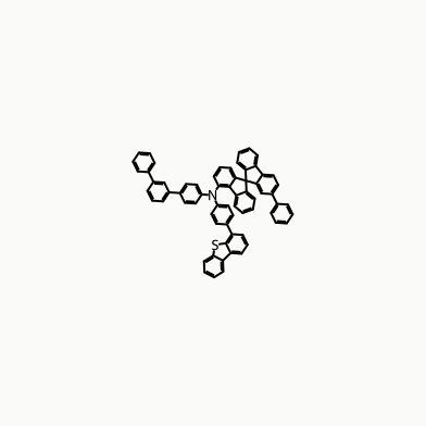 c1ccc(-c2cccc(-c3ccc(N(c4ccc(-c5cccc6c5sc5ccccc56)cc4)c4cccc5c4-c4ccccc4C54c5ccccc5-c5ccc(-c6ccccc6)cc54)cc3)c2)cc1